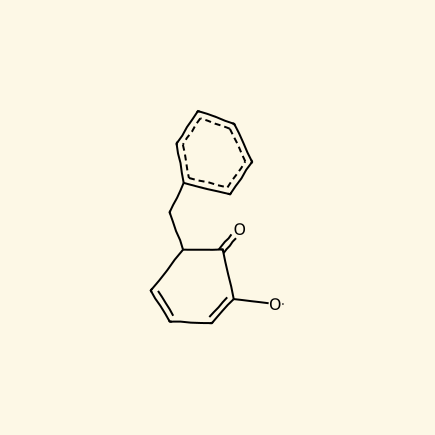 [O]C1=CC=CC(Cc2ccccc2)C1=O